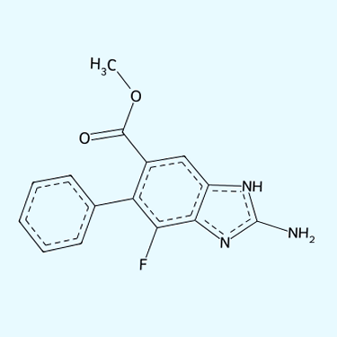 COC(=O)c1cc2[nH]c(N)nc2c(F)c1-c1ccccc1